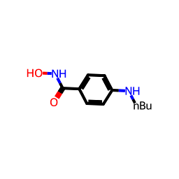 CCCCNc1ccc(C(=O)NO)cc1